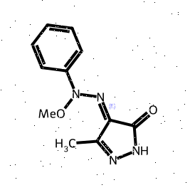 CON(/N=C1/C(=O)NN=C1C)c1ccccc1